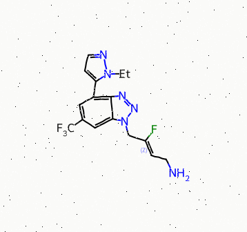 CCn1nccc1-c1cc(C(F)(F)F)cc2c1nnn2C/C(F)=C/CN